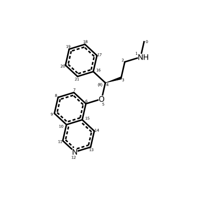 CNCC[C@@H](Oc1cccc2cnccc12)c1ccccc1